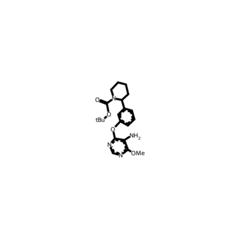 COc1ncnc(Oc2cccc(C3CCCCN3C(=O)OC(C)(C)C)c2)c1N